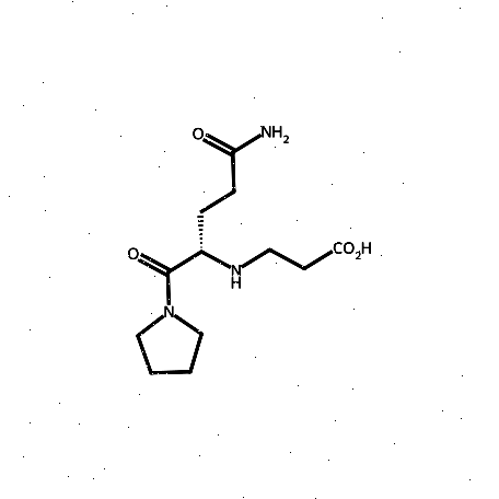 NC(=O)CC[C@H](NCCC(=O)O)C(=O)N1CCCC1